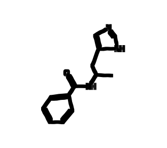 CC(Cc1cnc[nH]1)NC(=O)c1ccccc1